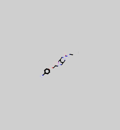 CCCNC(=O)N1CC2CC(CN(C[C@H](O)COc3ccc(C#N)cc3)C2)C1